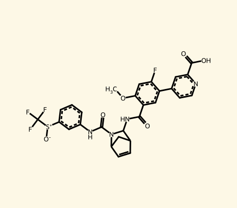 COc1cc(F)c(-c2ccnc(C(=O)O)c2)cc1C(=O)NC1C2C=CC(C2)N1C(=O)Nc1cccc([S+]([O-])C(F)(F)F)c1